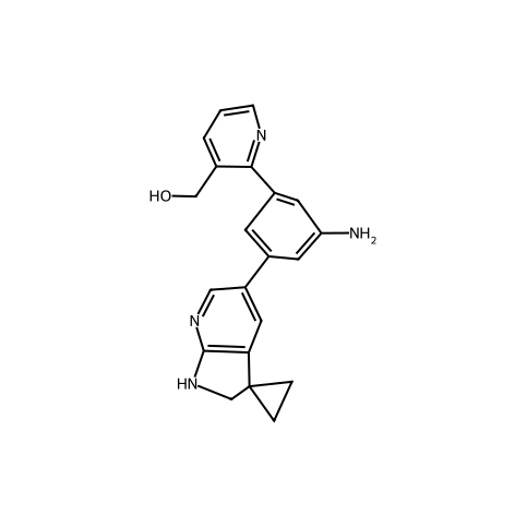 Nc1cc(-c2cnc3c(c2)C2(CC2)CN3)cc(-c2ncccc2CO)c1